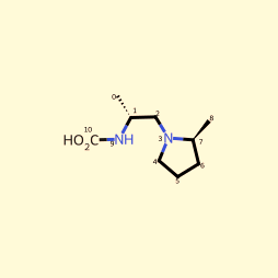 C[C@H](CN1CCC[C@@H]1C)NC(=O)O